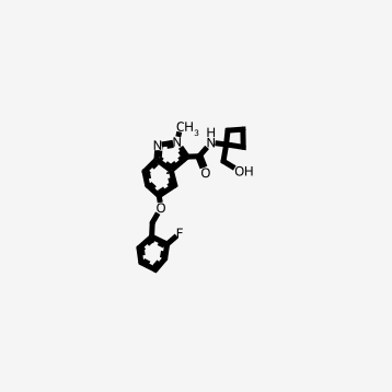 Cn1nc2ccc(OCc3ccccc3F)cc2c1C(=O)NC1(CO)CCC1